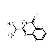 CC(N)c1nc2ccccc2c(=O)[nH]1